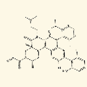 C=CC(=O)N1C[C@@H]2C(=O)N(CCN(C)C)c3c(c4cc(Cl)c(-c5c(O)cccc5F)nc4n(-c4c(C)ccnc4C(C)C)c3=O)N2C[C@H]1C